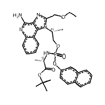 CCOCc1nc2c(N)nc3ccccc3c2n1[C@H](C)COP(=O)(N[C@@H](C)C(=O)OC(C)(C)C)Oc1ccc2ccccc2c1